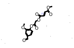 COC(=O)/C=C/C(=O)OCC(=O)Oc1ccc(C=O)cc1OC